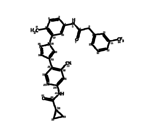 Cc1ccc(NC(=O)Cc2cccc(C(F)(F)F)c2)cc1-n1cc(-c2cnc(NC(=O)C3CC3)cc2C#N)cn1